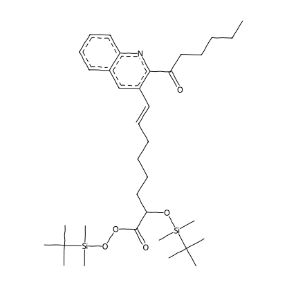 CCCCCC(=O)c1nc2ccccc2cc1C=CCCCCC(O[Si](C)(C)C(C)(C)C)C(=O)OO[Si](C)(C)C(C)(C)C